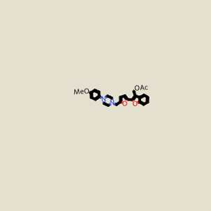 COc1ccc(N2CCN(Cc3ccc(-c4oc5ccccc5c4COC(C)=O)o3)CC2)cc1